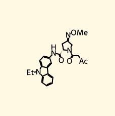 CCn1c2ccccc2c2cc(NC(=O)[C@@H]3CC(=NOC)CN3C(=O)CC(C)=O)ccc21